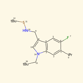 CC(C)c1cc2c(cc1F)c(CNSC(C)(C)C)cn2CC(C)(C)C